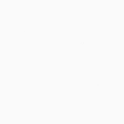 CCS(=O)(=O)c1ccc2cc(C(=O)c3ccc4c(c3)C(C)(C)CC4(C)C)ccc2c1